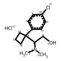 CN(C)C(CO)C1(c2ccc(Cl)cc2)CCC1.Cl